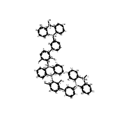 Cc1ccc(-c2cccc(N3c4ccccc4N(C)c4ccccc43)c2)c(C)c1B1c2ccccc2B(c2c(C)ccc(-c3cccc(N4c5ccccc5N(C)c5ccccc54)c3)c2C)c2ccccc21